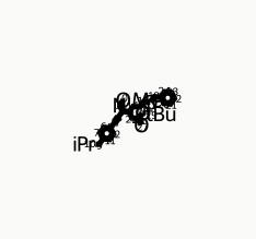 CON=C(C#Cc1ccc(CC(C)C)cc1)C(CCCOCc1ccccc1)CC(=O)OC(C)(C)C